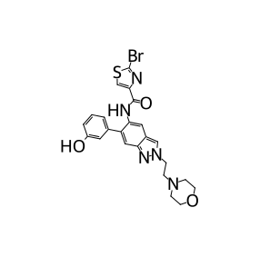 O=C(Nc1cc2cn(CCN3CCOCC3)nc2cc1-c1cccc(O)c1)c1csc(Br)n1